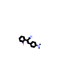 CN(C)c1ccc(/C=C(\C#N)c2ccccc2I)cc1